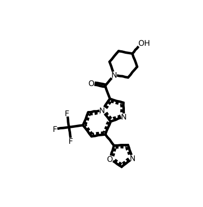 O=C(c1cnc2c(-c3cnco3)cc(C(F)(F)F)cn12)N1CCC(O)CC1